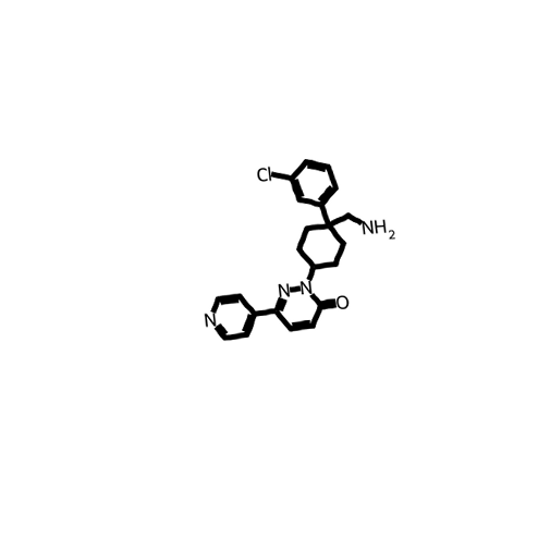 NCC1(c2cccc(Cl)c2)CCC(n2nc(-c3ccncc3)ccc2=O)CC1